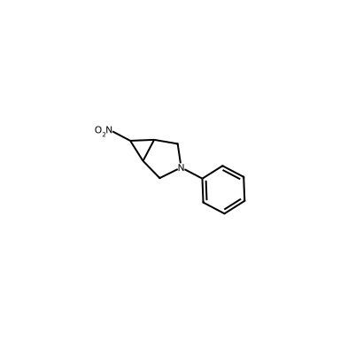 O=[N+]([O-])C1C2CN(c3ccccc3)CC21